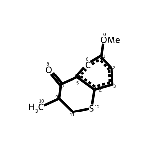 COc1ccc2c(c1)C(=O)C(C)CS2